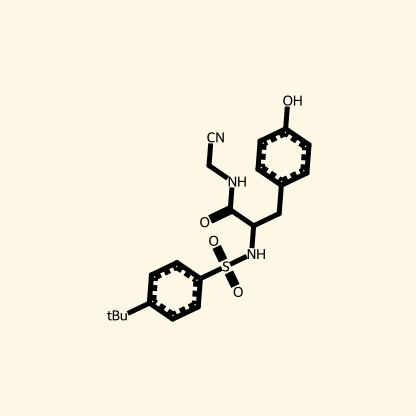 CC(C)(C)c1ccc(S(=O)(=O)NC(Cc2ccc(O)cc2)C(=O)NCC#N)cc1